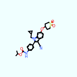 CC(C)OC(=O)Nc1ccc(-c2c(C#N)c3ccc(OC4CCS(=O)(=O)CC4)cc3n2CC2CC2)cc1